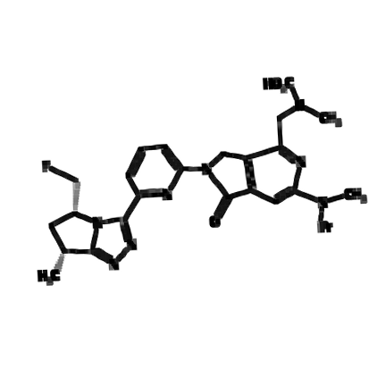 CC(C)N(C)c1cc2c(c(CN(C)C(=O)O)n1)CN(c1cccc(-c3nnc4n3[C@@H](CF)C[C@H]4C)n1)C2=O